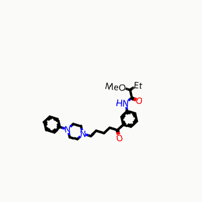 CCC(OC)C(=O)Nc1cccc(C(=O)CCCCN2CCN(c3ccccc3)CC2)c1